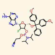 CNc1ncnc2c1ncn2[C@@H]1O[C@H](COC(c2ccccc2)(c2ccc(OC)cc2)c2ccc(OC)cc2)C(OP(OCCC#N)N(C(C)C)C(C)C)C1F